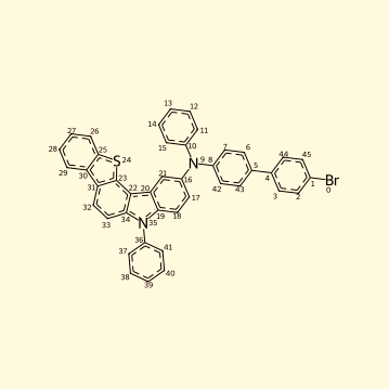 Brc1ccc(-c2ccc(N(c3ccccc3)c3ccc4c(c3)c3c5sc6ccccc6c5ccc3n4-c3ccccc3)cc2)cc1